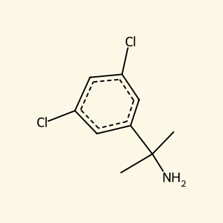 CC(C)(N)c1cc(Cl)cc(Cl)c1